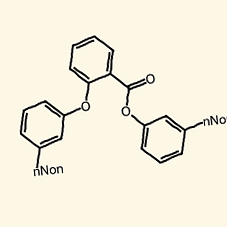 CCCCCCCCCc1cccc(OC(=O)c2ccccc2Oc2cccc(CCCCCCCCC)c2)c1